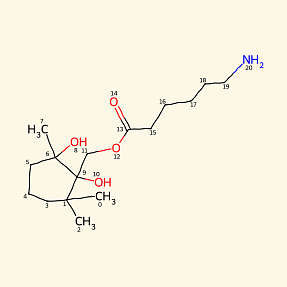 CC1(C)CCCC(C)(O)C1(O)COC(=O)CCCCCN